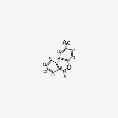 CC(=O)c1ccc(OC(C)c2ccccc2)cc1